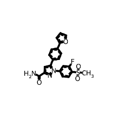 CS(=O)(=O)c1ccc(-n2nc(C(N)=O)cc2-c2ccc(-c3ccco3)cc2)cc1F